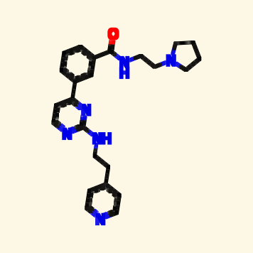 O=C(NCCN1CCCC1)c1cccc(-c2ccnc(NCCc3ccncc3)n2)c1